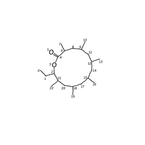 CCC1OC(=O)C(C)CC(C)CC(C)CC(C)CC(C)CC1C